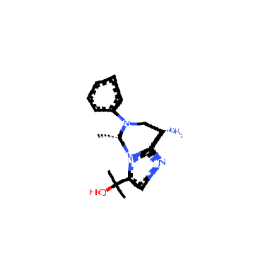 C[C@@H]1N(c2ccccc2)C[C@H](N)c2ncc(C(C)(C)O)n21